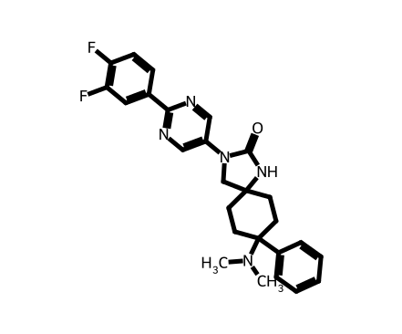 CN(C)C1(c2ccccc2)CCC2(CC1)CN(c1cnc(-c3ccc(F)c(F)c3)nc1)C(=O)N2